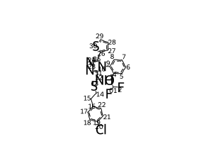 FC(F)Oc1ccccc1-n1c(NSCCc2ccc(Cl)cc2)nnc1-c1cccs1